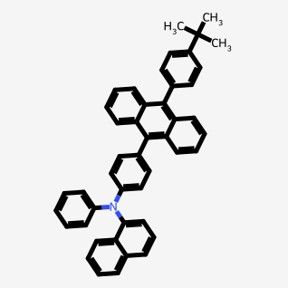 CC(C)(C)c1ccc(-c2c3ccccc3c(-c3ccc(N(c4ccccc4)c4cccc5ccccc45)cc3)c3ccccc23)cc1